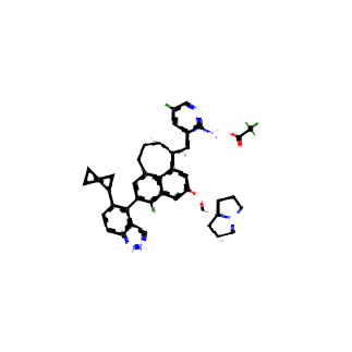 C[C@H]1CCc2cc(-c3c(C4CC45CC5)ccc4[nH]ncc34)c(F)c3cc(OC[C@@]45CCCN4C[C@H](F)C5)cc(c23)C1[C@@H](C)c1cc(F)cnc1N.O=C(O)C(F)(F)F